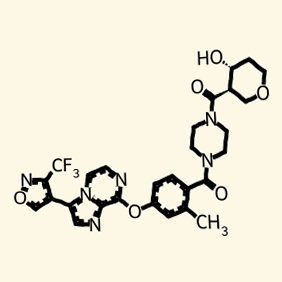 Cc1cc(Oc2nccn3c(-c4conc4C(F)(F)F)cnc23)ccc1C(=O)N1CCN(C(=O)[C@@H]2COCC[C@H]2O)CC1